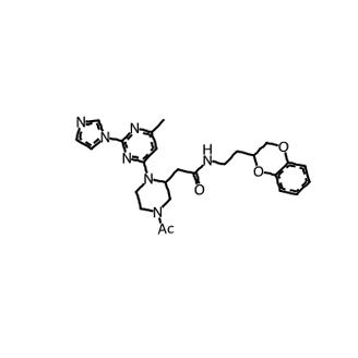 CC(=O)N1CCN(c2cc(C)nc(-n3ccnc3)n2)C(CC(=O)NCCC2COc3ccccc3O2)C1